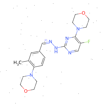 Cc1cc(/C=N\Nc2ncc(F)c(N3CCOCC3)n2)ccc1N1CCOCC1